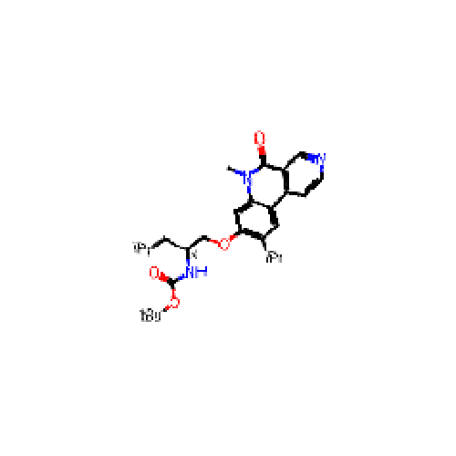 CC(C)C[C@@H](COc1cc2c(cc1C(C)C)c1ccncc1c(=O)n2C)NC(=O)OC(C)(C)C